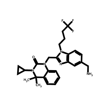 CC1(C)c2ccccc2N(Cc2nc3cc(CN)ccc3n2CCCC(F)(F)F)C(=O)N1C1CC1